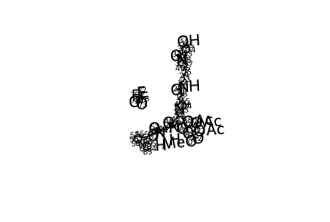 COC(=O)[C@H]1O[C@@H](Oc2ccc(C[n+]3cccc(/C=C/C(=O)NCCCCC4CCN(C(=O)c5cccc(O)c5)CC4)c3)cc2NC(=O)CCNC(=O)OCC2c3ccccc3-c3ccccc32)[C@H](OC(C)=O)[C@@H](OC(C)=O)[C@@H]1OC(C)=O.O=C([O-])C(F)(F)F